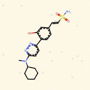 CN(c1ccc(-c2ccc(/C=C/S(N)(=O)=O)cc2O)nn1)C1CCCCC1